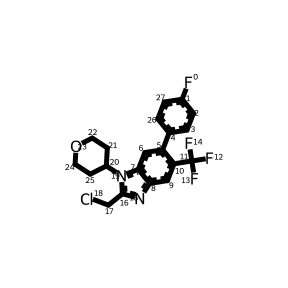 Fc1ccc(-c2cc3c(cc2C(F)(F)F)nc(CCl)n3C2CCOCC2)cc1